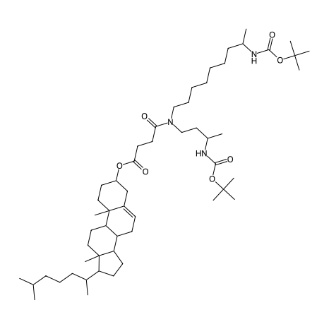 CC(C)CCCC(C)C1CCC2C3CC=C4CC(OC(=O)CCC(=O)N(CCCCCCCC(C)NC(=O)OC(C)(C)C)CCC(C)NC(=O)OC(C)(C)C)CCC4(C)C3CCC12C